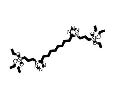 CCO[Si](CCCn1nnnc1CCCCCCCCc1nnnn1CCC[Si](OCC)(OCC)OCC)(OCC)OCC